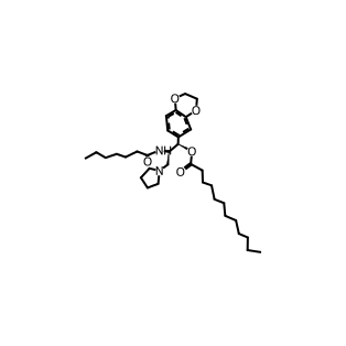 CCCCCCCCCCCC(=O)O[C@H](c1ccc2c(c1)OCCO2)[C@@H](CN1CCCC1)NC(=O)CCCCCC